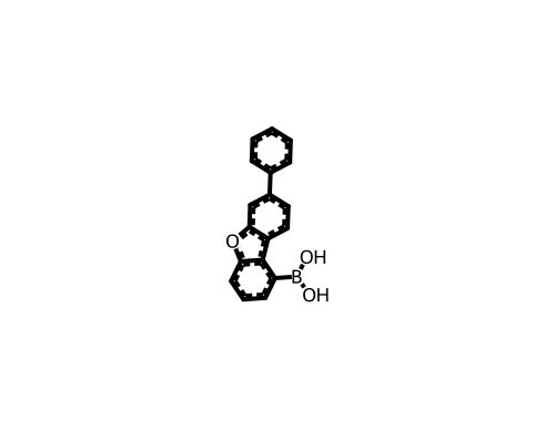 OB(O)c1cccc2oc3cc(-c4ccccc4)ccc3c12